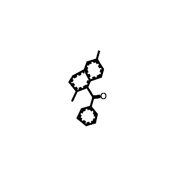 Cc1ccc2c(C(=O)c3ccccc3)c(C)ccc2c1